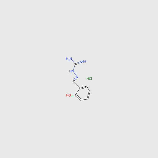 Cl.N=C(N)NN=Cc1ccccc1O